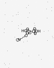 COc1cc(-c2cc(=O)c3c(O)cc(OCCCCCCN4CCCCC4)cc3o2)cc(OC)c1O